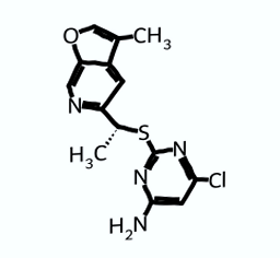 Cc1coc2cnc([C@@H](C)Sc3nc(N)cc(Cl)n3)cc12